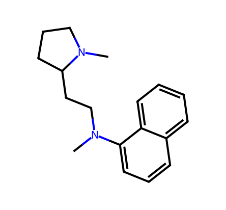 CN(CCC1CCCN1C)c1cccc2ccccc12